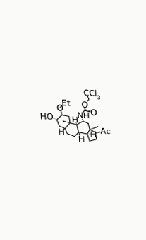 CCO[C@H]1C[C@@]2(C)[C@@H](CC[C@@H]3[C@@H]2[C@H](NC(=O)OCC(Cl)(Cl)Cl)C[C@]2(C)[C@@H](C(C)=O)CC[C@@H]32)C[C@@H]1O